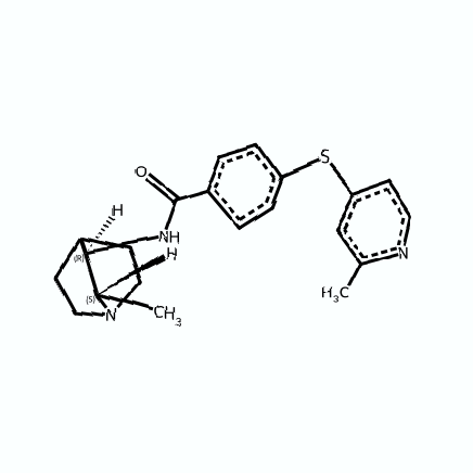 Cc1cc(Sc2ccc(C(=O)N[C@@H]3C4CCN(CC4)[C@H]3C)cc2)ccn1